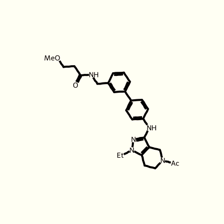 CCn1nc(Nc2ccc(-c3cccc(CNC(=O)CCOC)c3)cc2)c2c1CCN(C(C)=O)C2